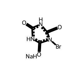 O=c1[nH]c(=O)n(Br)c(=O)[nH]1.[NaH]